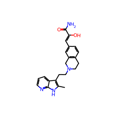 Cc1[nH]c2ncccc2c1CCN1CCc2ccc(C=C(O)C(N)=O)cc2C1